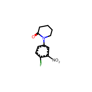 O=C1CCCCN1c1ccc(F)c([N+](=O)[O-])c1